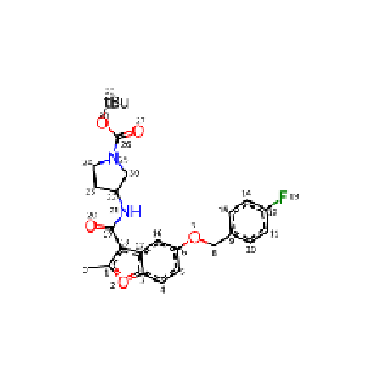 Cc1oc2ccc(OCc3ccc(F)cc3)cc2c1C(=O)NC1CCN(C(=O)OC(C)(C)C)C1